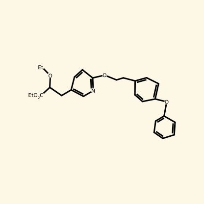 CCOC(=O)C(Cc1ccc(OCCc2ccc(Oc3ccccc3)cc2)nc1)OCC